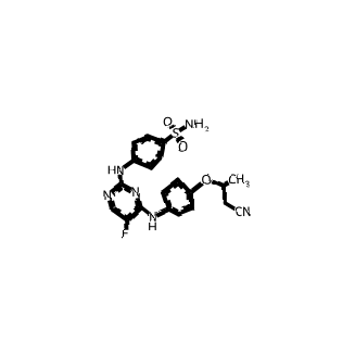 CC(CC#N)Oc1ccc(Nc2nc(Nc3ccc(S(N)(=O)=O)cc3)ncc2F)cc1